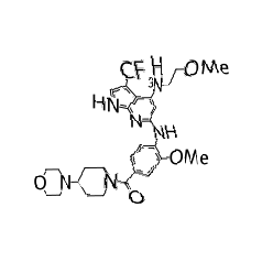 COCCNc1cc(Nc2ccc(C(=O)N3CCC(N4CCOCC4)CC3)cc2OC)nc2[nH]cc(C(F)(F)F)c12